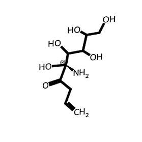 C=CCC(=O)[C@](N)(O)C(O)C(O)C(O)CO